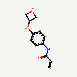 C=CC(=O)Nc1ccc(OC2COC2)cc1